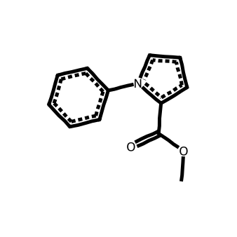 COC(=O)c1cccn1-c1ccccc1